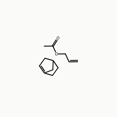 C1=C2CCC(C1)C2.C=CCOC(C)=O